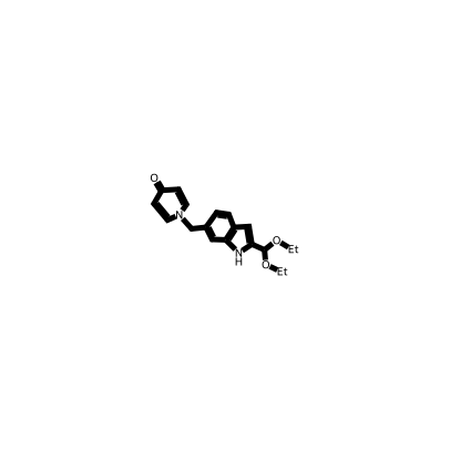 CCOC(OCC)c1cc2ccc(Cn3ccc(=O)cc3)cc2[nH]1